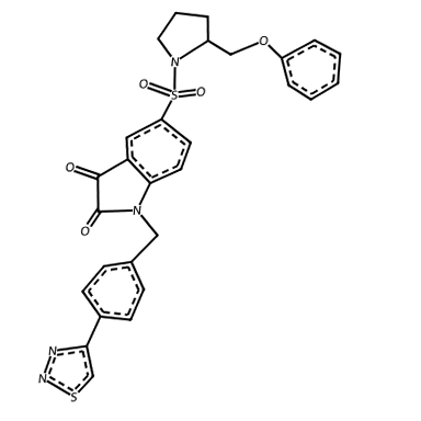 O=C1C(=O)N(Cc2ccc(-c3csnn3)cc2)c2ccc(S(=O)(=O)N3CCCC3COc3ccccc3)cc21